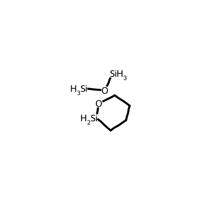 C1CC[SiH2]OC1.[SiH3]O[SiH3]